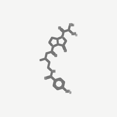 CC(CCNC(=O)c1ccc(N)cc1)CC(=O)N1CCC2C1C(=O)CN2C(=O)C(N)C(C)(C)C